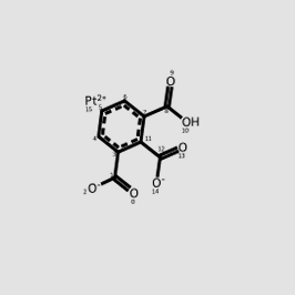 O=C([O-])c1cccc(C(=O)O)c1C(=O)[O-].[Pt+2]